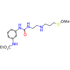 CCOC(=O)Nc1cccc(NC(=O)NCCNCCCSOC)c1